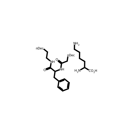 CCCCCCCCCCCCNC(=O)C(Cc1ccccc1)NC(=O)CCCCCCCCCCC.NCCCCC(N)C(=O)O